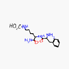 NC(=O)C(CCCCNC(=O)O)NC(=O)C(N)Cc1ccccc1